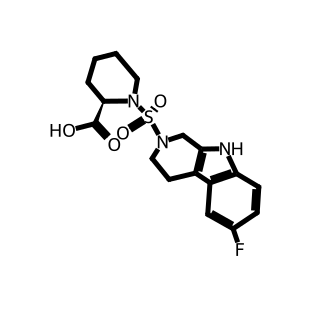 O=C(O)[C@H]1CCCCN1S(=O)(=O)N1CCc2c([nH]c3ccc(F)cc23)C1